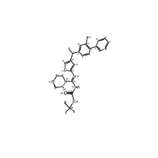 CC(c1ccc(-c2ccccc2)c(F)c1)c1cc(N=C(NC(=O)OC(C)(C)C)N2CCOCS2)on1